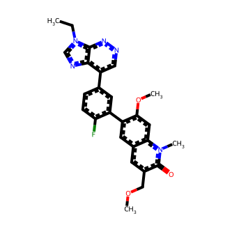 CCn1cnc2c(-c3ccc(F)c(-c4cc5cc(COC)c(=O)n(C)c5cc4OC)c3)cnnc21